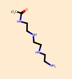 NCCNCCNCCNC(=O)C(Cl)(Cl)Cl